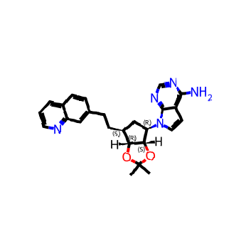 CC1(C)O[C@@H]2[C@@H](CCc3ccc4cccnc4c3)C[C@@H](n3ccc4c(N)ncnc43)[C@@H]2O1